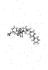 N#Cc1cccc(S(=O)(=O)N[C@@H]2CCN(Cc3ccc(-c4ccccc4)cc3)C2)c1